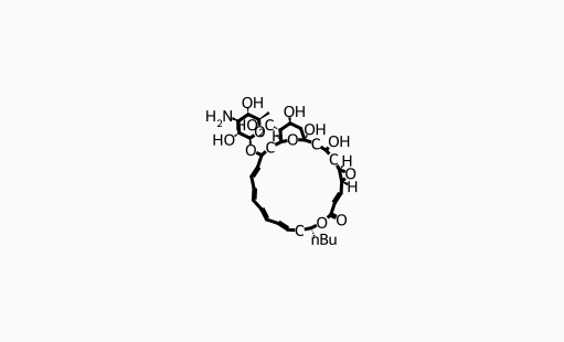 CCCC[C@@H]1C/C=C/C=C/C=C/C=C/C(O[C@@H]2O[C@H](C)[C@@H](O)[C@H](N)[C@H]2O)C[C@@H]2O[C@](O)(CC(O)C[C@H]3O[C@@H]3/C=C/C(=O)O1)C[C@H](O)[C@H]2C(=O)O